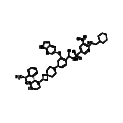 CC(C)c1ccccc1[C@H]1CNCCN1C1CC2(CCN(c3ccc(C(=O)NS(=O)(=O)c4cnc(NCC5CCCCC5)c([N+](=O)[O-])c4)c(Oc4cnc5[nH]ccc5c4)c3)CC2)C1